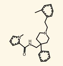 Cc1ccccc1CCN1CCC(CNC(=O)c2cccn2C)(c2ccccc2)CC1